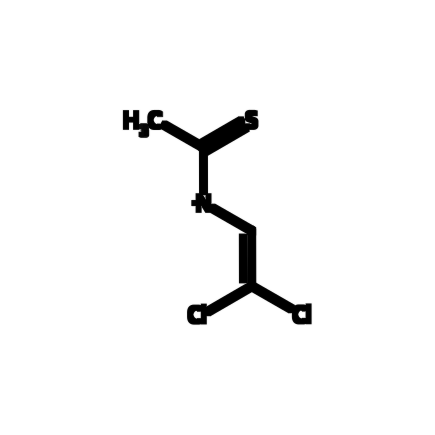 CC(=S)[N]C=C(Cl)Cl